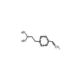 C=Cc1ccc(CCN(CCC)CCC)cc1